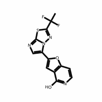 CC(F)(F)c1nn2c(-c3cc4c(O)nccc4o3)cnc2s1